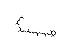 CC(C)=CCC/C(C)=C/CCC(C)/C=C/C/C(C)=C/C=C/C=C(\C)CC/C=C(C)/C=C/C1=C(C)CCCC1(C)C